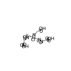 CC1(C)C2=CC=CN(CCCCS(=O)(=O)O)C2=N/C1=C/C=C1\CN(CCCCCC(=O)O)CC(/C=C/C2=Nc3c(ccc[n+]3CCCCS(=O)(=O)O)C2(C)C)=C1Cl